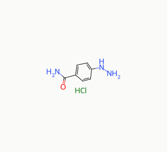 Cl.NNc1ccc(C(N)=O)cc1